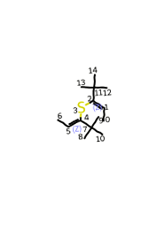 C/C=C(\S/C(=C\C)C(C)(C)C)C(C)(C)C